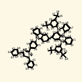 CC(C)(C)c1cc(N2c3ccccc3B3c4ccccc4N(c4cc(C(C)(C)C)cc(C(C)(C)C)c4)c4cc(-c5ccc6c(c5)c5ccccc5n6-c5ccc(-c6nc(-c7ccccc7)cc(-c7ccccc7)n6)cc5)cc2c43)cc(C(C)(C)C)c1